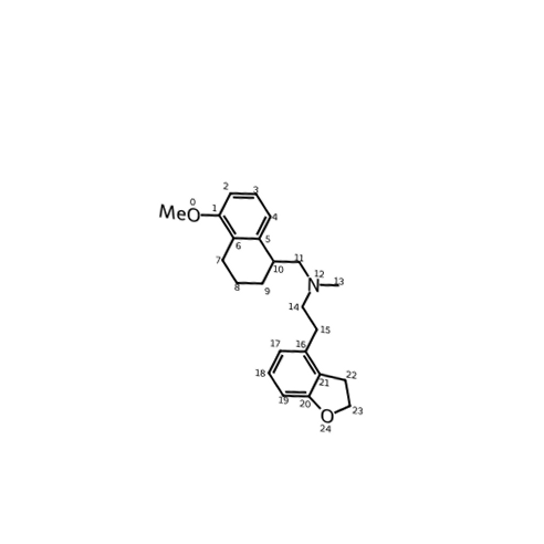 COc1cccc2c1CCCC2CN(C)CCc1cccc2c1CCO2